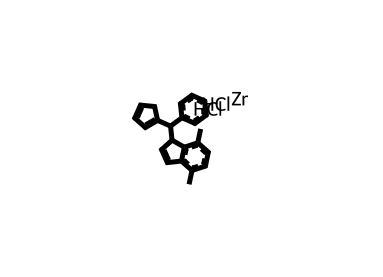 Cc1ccc(C)c2c1C=CC2C(C1=CC=CC1)c1ccccc1.Cl.Cl.[Zr]